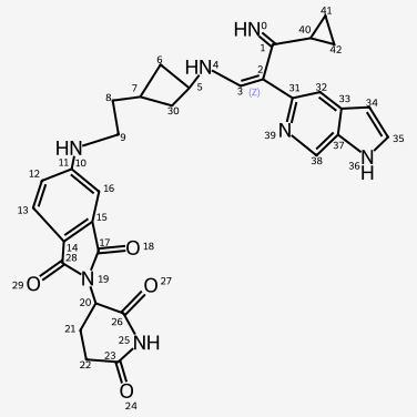 N=C(/C(=C\NC1CC(CCNc2ccc3c(c2)C(=O)N(C2CCC(=O)NC2=O)C3=O)C1)c1cc2cc[nH]c2cn1)C1CC1